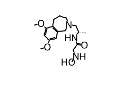 COc1cc2c(c(OC)c1)CCCN(C[C@H](C)NC(=O)CNO)C2